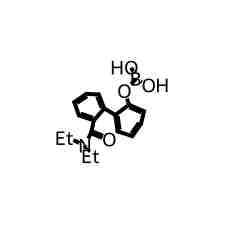 CCN(CC)C(=O)c1ccccc1-c1ccccc1OB(O)O